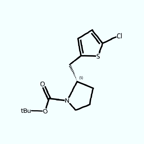 CC(C)(C)OC(=O)N1CCC[C@H]1Cc1ccc(Cl)s1